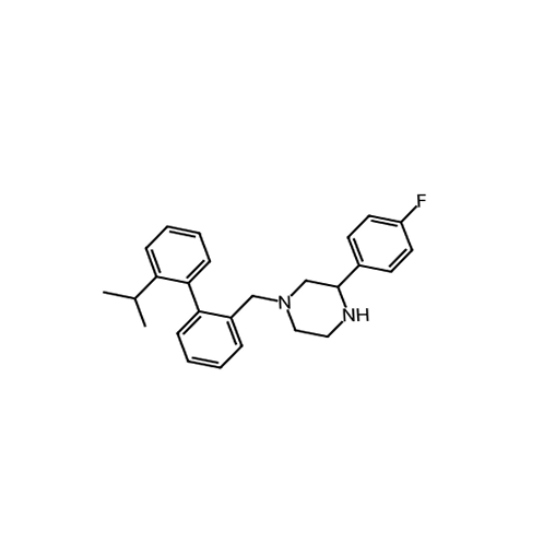 CC(C)c1ccccc1-c1ccccc1CN1CCNC(c2ccc(F)cc2)C1